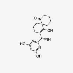 N=C(C1=C(O)[C@]2(CCCCC2=O)CCC1)c1nc(O)cc(O)n1